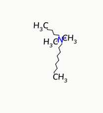 CCCCCCCCC[N+](C)(C)CCCCC